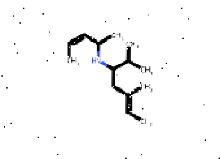 C/C=C\C(C)NC(C/C(C)=C/C)C(C)C